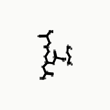 NCCN.O=C(O)CNCCN(CC(=O)O)CC(=O)O